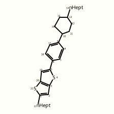 CCCCCCCc1cc2sc(-c3ccc(C4CCC(CCCCCCC)CC4)cc3)cc2s1